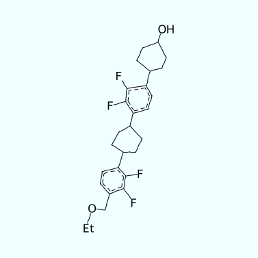 CCOCc1ccc(C2CCC(c3ccc(C4CCC(O)CC4)c(F)c3F)CC2)c(F)c1F